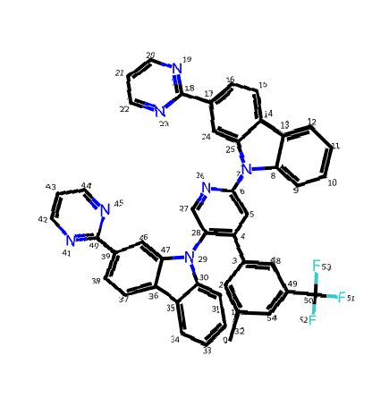 Cc1cc(-c2cc(-n3c4ccccc4c4ccc(-c5ncccn5)cc43)ncc2-n2c3ccccc3c3ccc(-c4ncccn4)cc32)cc(C(F)(F)F)c1